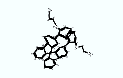 OCCOc1ccccc1-c1ccc2c(c1)C1(c3ccccc3-2)c2ccccc2-c2ccc(-c3ccccc3OCCO)cc21